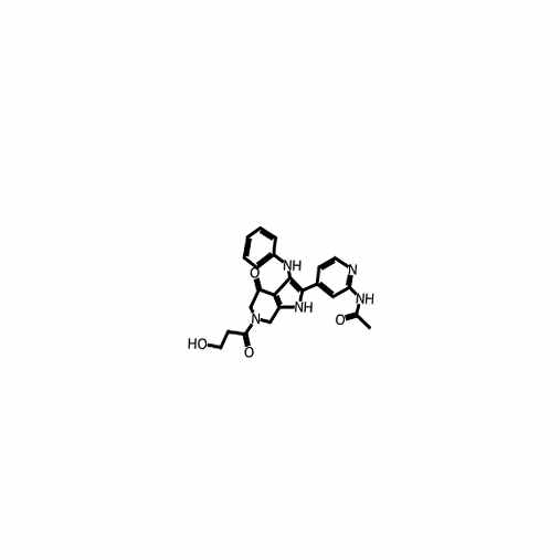 CC(=O)Nc1cc(-c2[nH]c3c(c2Nc2ccccc2)C(=O)CN(C(=O)CCO)C3)ccn1